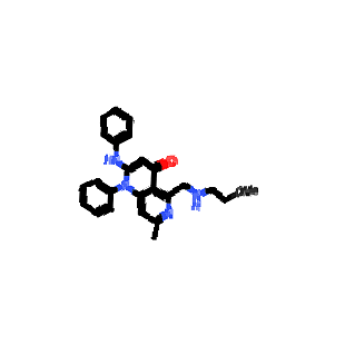 COCCNCc1nc(C)cc2c1c(=O)cc(Nc1ccccc1)n2-c1ccccc1